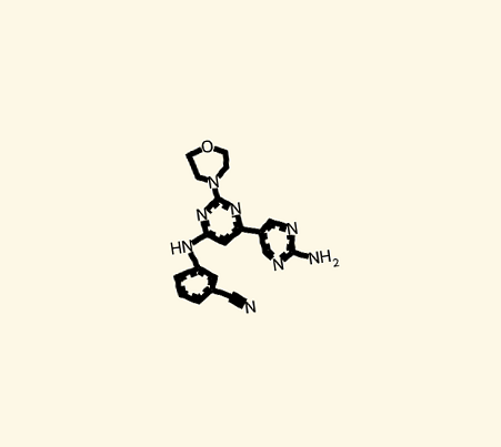 N#Cc1cccc(Nc2cc(-c3cnc(N)nc3)nc(N3CCOCC3)n2)c1